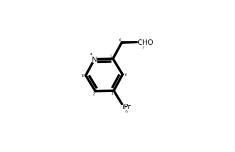 CC(C)c1ccnc(CC=O)c1